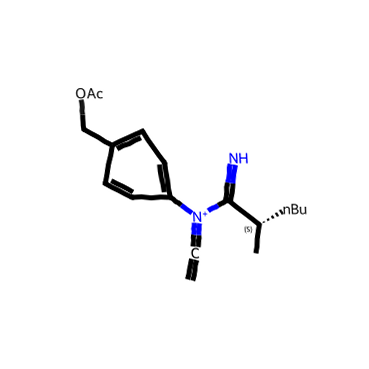 C=C=[N+](C(=N)[C@@H](C)CCCC)c1ccc(COC(C)=O)cc1